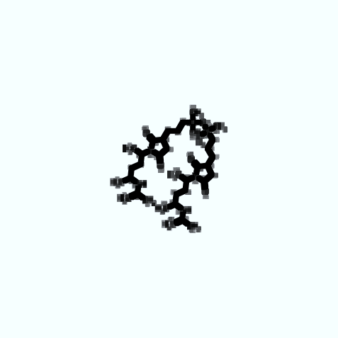 BC(=C)NC(C)CCC(C)N1C(=O)CC(CCC[Si](C)(C)O[Si](C)(C)CCCC2CC(=O)N(C(C)CCC(C)NC(B)=C)C2=O)C1=O